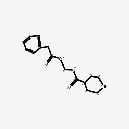 O=C(Cc1ccccc1)OCOC(=O)C1CCNCC1